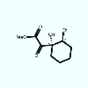 CC[C@H]1CCCC[C@@]1(O)C(=O)C(=O)OC